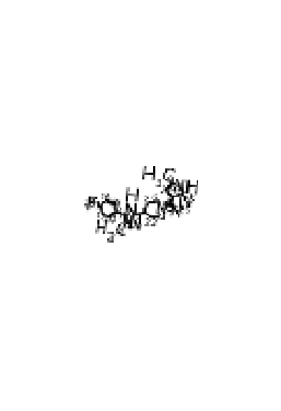 Cc1cc2c(N3CCC(c4nc(C)c(-c5ccc(F)cc5)[nH]4)CC3)ncnc2[nH]1